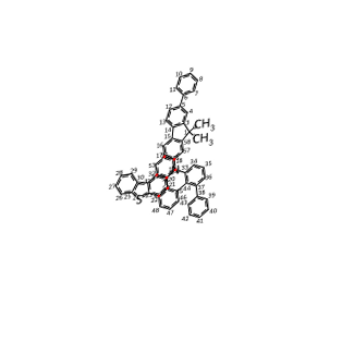 CC1(C)c2cc(-c3ccccc3)ccc2-c2ccc(N(c3ccc4sc5ccccc5c4c3)c3cccc(-c4ccccc4)c3-c3ccccc3-c3ccccc3)cc21